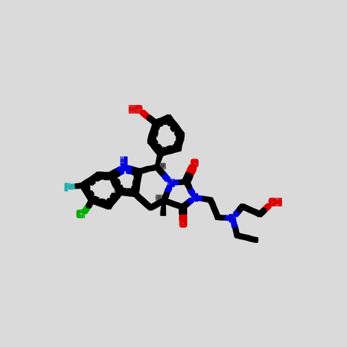 CCN(CCO)CCN1C(=O)N2[C@H](c3cccc(O)c3)c3[nH]c4cc(F)c(Cl)cc4c3C[C@@]2(C)C1=O